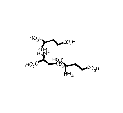 NC(CC(=O)O)C(=O)O.NC(CCC(=O)O)C(=O)O.NC(CCC(=O)O)C(=O)O